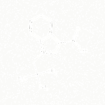 CC(C)(C)Cn1cc(C(=O)O)c2ccccc21